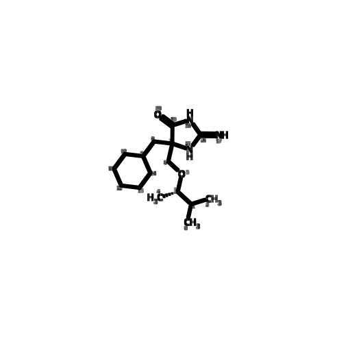 CC(C)[C@H](C)OCC1(CC2CCCCC2)NC(=N)NC1=O